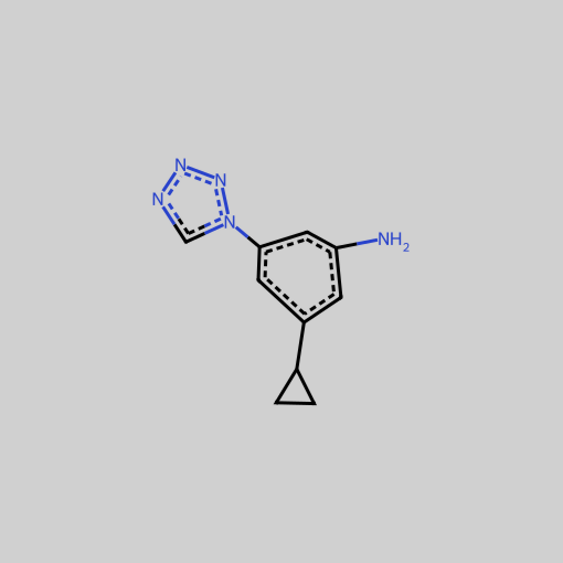 Nc1cc(C2CC2)cc(-n2cnnn2)c1